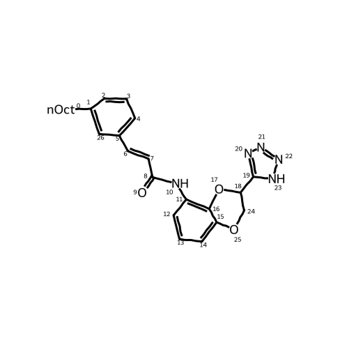 CCCCCCCCc1cccc(C=CC(=O)Nc2cccc3c2OC(c2nnn[nH]2)CO3)c1